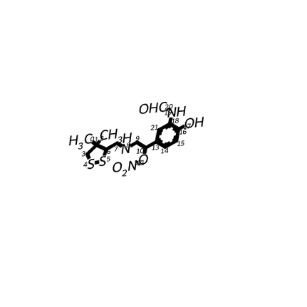 CC1(C)CSSC1CNCC(O[N+](=O)[O-])c1ccc(O)c(NC=O)c1